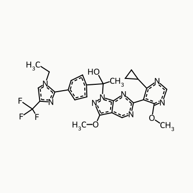 CCn1cc(C(F)(F)F)nc1-c1ccc(C(C)(O)n2nc(OC)c3cnc(-c4c(OC)ncnc4C4CC4)nc32)cc1